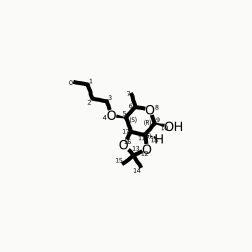 CCCCO[C@H]1C(C)O[C@@H](O)[C@H]2OC(C)(C)OC12